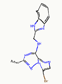 CSc1nc(NCc2nc3ccccc3[nH]2)c2ncc(Br)n2n1